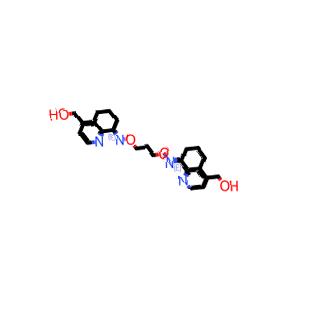 OCc1ccnc2c1CCC/C2=N\OCCCO/N=C1\CCCc2c(CO)ccnc21